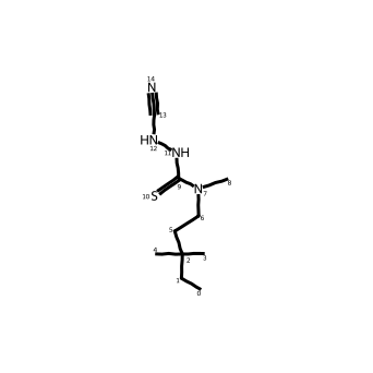 CCC(C)(C)CCN(C)C(=S)NNC#N